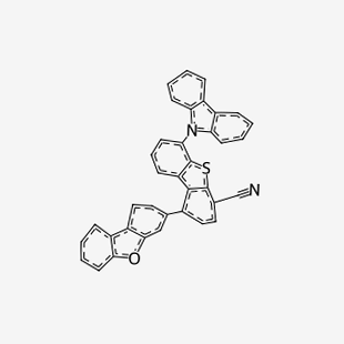 N#Cc1ccc(-c2ccc3c(c2)oc2ccccc23)c2c1sc1c(-n3c4ccccc4c4ccccc43)cccc12